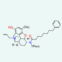 C=CCN1CC[C@]23c4c5c(O)cc(OC(C)=O)c4O[C@H]2[C@H](N(CCCCC)C(=O)CCCCCCCc2ccccc2)CC[C@H]3[C@H]1C5